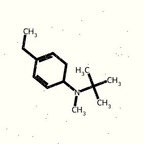 CCC1=CCC(N(C)C(C)(C)C)C=C1